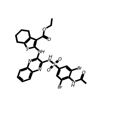 CCOC(=O)c1c(Nc2nc3ccccc3nc2NS(=O)(=O)c2cc(Br)c(NC(C)=O)c(Br)c2)sc2c1CCCC2